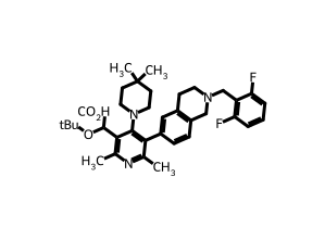 Cc1nc(C)c(C(OC(C)(C)C)C(=O)O)c(N2CCC(C)(C)CC2)c1-c1ccc2c(c1)CCN(Cc1c(F)cccc1F)C2